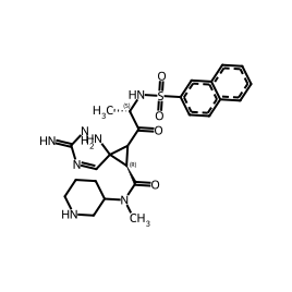 C[C@H](NS(=O)(=O)c1ccc2ccccc2c1)C(=O)C1[C@@H](C(=O)N(C)C2CCCNC2)C1([NH])C=NC(=N)N